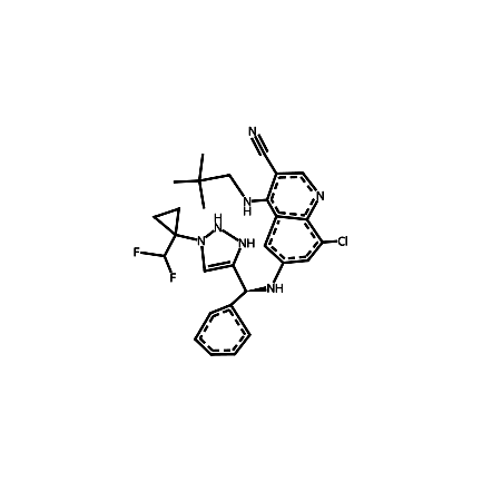 CC(C)(C)CNc1c(C#N)cnc2c(Cl)cc(N[C@H](C3=CN(C4(C(F)F)CC4)NN3)c3ccccc3)cc12